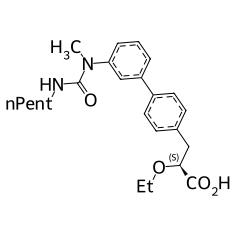 CCCCCNC(=O)N(C)c1cccc(-c2ccc(C[C@H](OCC)C(=O)O)cc2)c1